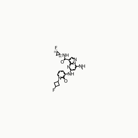 CNc1cc(Nc2cccn(C3CC(F)C3)c2=O)nc2c(C(=O)N[C@@H]3C[C@@H]3F)cnn12